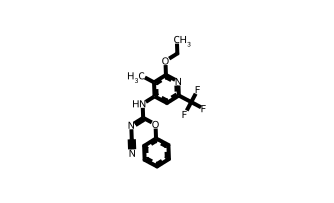 CCOc1nc(C(F)(F)F)cc(N/C(=N/C#N)Oc2ccccc2)c1C